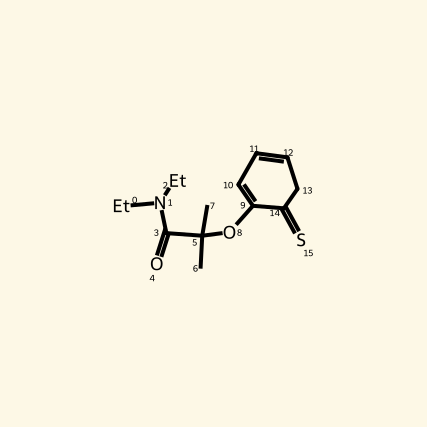 CCN(CC)C(=O)C(C)(C)OC1=CC=CCC1=S